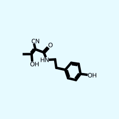 CC(O)=C(C#N)C(=O)NCCc1ccc(O)cc1